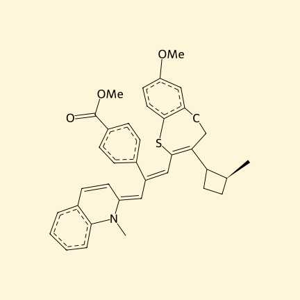 COC(=O)c1ccc(C(=C\C2=C(C3CC[C@@H]3C)CCc3cc(OC)ccc3S2)/C=C2\C=Cc3ccccc3N2C)cc1